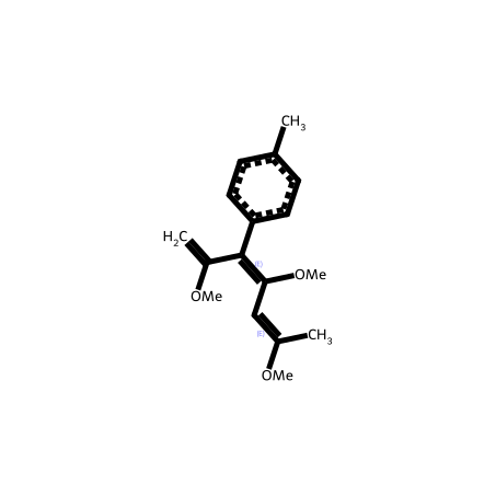 C=C(OC)/C(=C(\C=C(/C)OC)OC)c1ccc(C)cc1